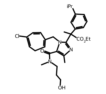 CCOC(=O)C(C)(c1cccc(C(C)C)c1)c1nc(C)c(C(=O)N(C)CCCO)n1CC1=CCC=C(Cl)C=C1